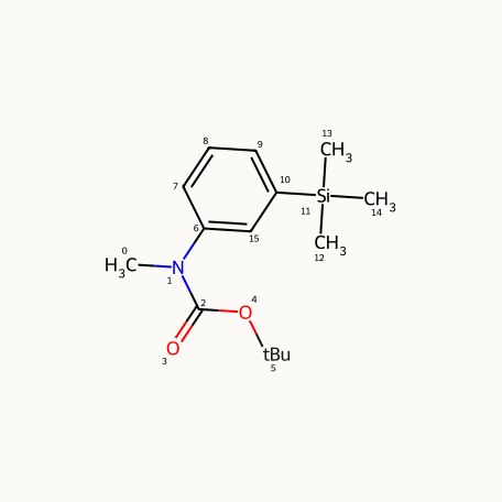 CN(C(=O)OC(C)(C)C)c1cccc([Si](C)(C)C)c1